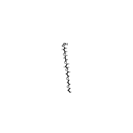 CCCOCCCOCCCOCCCOCCCOCCCOO